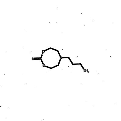 CCCCN1CCOC(=O)OCC1